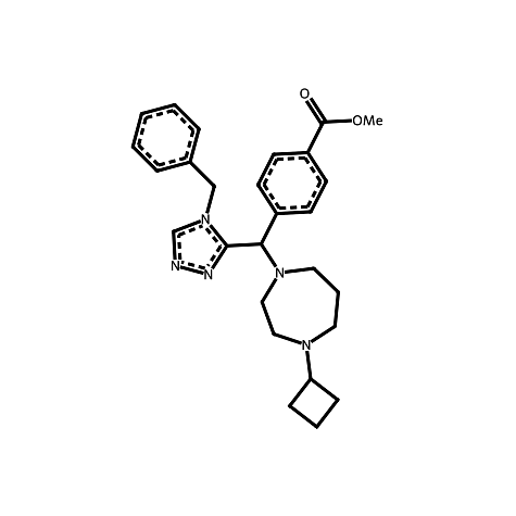 COC(=O)c1ccc(C(c2nncn2Cc2ccccc2)N2CCCN(C3CCC3)CC2)cc1